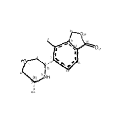 Cc1c([C@H]2CNC[C@@H](C)N2)ccc2c1COC2=O